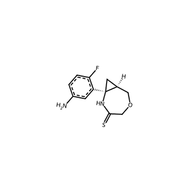 Nc1ccc(F)c([C@]23C[C@H]2COCC(=S)N3)c1